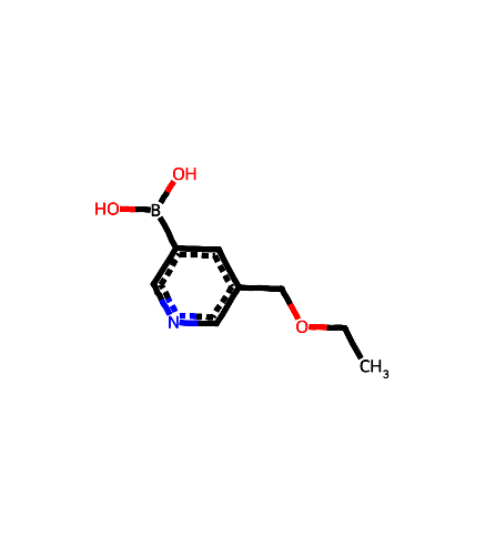 CCOCc1cncc(B(O)O)c1